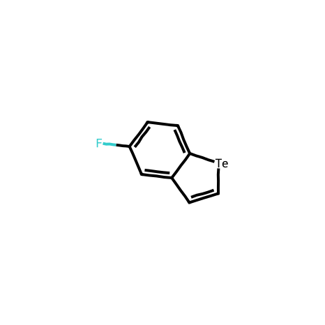 Fc1ccc2[te]ccc2c1